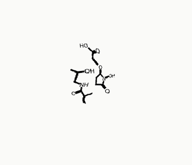 C=C(C)C(=O)NCC(C)O.C=CC(=O)O.O=C1CCC(=O)N1O